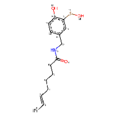 CC(C)/C=C/CCCCC(=O)NCc1ccc(O)c(SO)c1